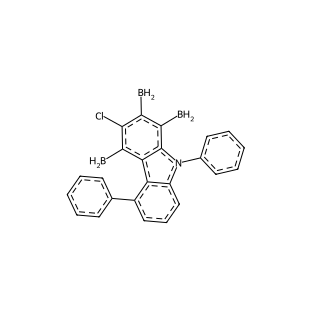 Bc1c(Cl)c(B)c2c3c(-c4ccccc4)cccc3n(-c3ccccc3)c2c1B